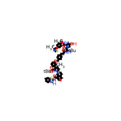 Cc1ncsc1-c1ccc(C(C)NC(=O)[C@@H]2C[C@@H](O)CN2C(=O)C(NC(=O)CCc2ccc(COc3cccc(-c4ccc(N5CCc6cccc(C(=O)Nc7nc8ccccc8s7)c6C5)nc4C(=O)OC(C)(C)C)c3C)cc2)C(C)(C)C)cc1